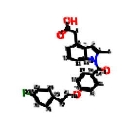 Cc1cc2c(CC(=O)O)cccc2n1C(=O)c1ccc(OCCc2ccc(F)cc2)cc1